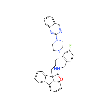 O=C(NCc1ccc(F)cc1)C1(CCCCN2CCN(c3ncc4ccccc4n3)CC2)c2ccccc2-c2ccccc21